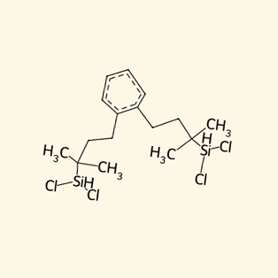 CC(C)(CCc1ccccc1CCC(C)(C)[SiH](Cl)Cl)[SiH](Cl)Cl